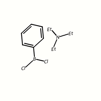 CCN(CC)CC.ClB(Cl)c1ccccc1